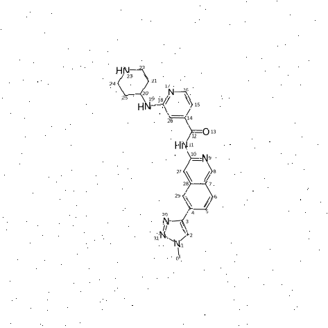 Cn1cc(-c2ccc3cnc(NC(=O)c4ccnc(NC5CCNCC5)c4)cc3c2)nn1